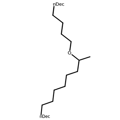 CCCCCCCCCCCCCCCCC(C)OCCCCCCCCCCCCCC